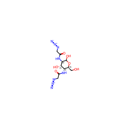 [N-]=[N+]=NCC(=O)N[C@@H]1[C@H](O)[C@@H](NC(=O)CN=[N+]=[N-])C(O)O[C@H]1CO